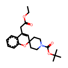 CCOC(=O)CC1=CC2(CCN(C(=O)OC(C)(C)C)CC2)Oc2ccccc21